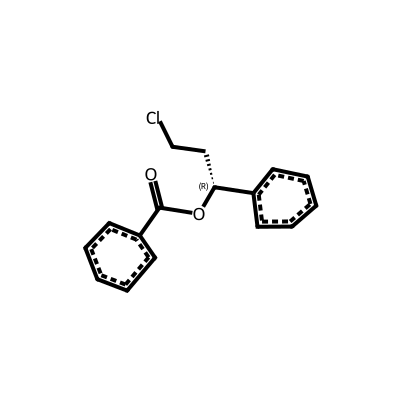 O=C(O[C@H](CCCl)c1ccccc1)c1ccccc1